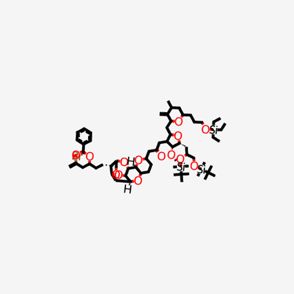 C=C(Br)CC(CC[C@H]1OC2C3CC1OC1C(O3)[C@H]2OC2CCC(CC(=O)CC3C(CC4OC(CCCO[Si](CC)(CC)CC)CC(C)C4=C)O[C@H](CC(CO[Si](C)(C)C(C)(C)C)O[Si](C)(C)C(C)(C)C)[C@@H]3OC)O[C@@H]21)OC(=O)c1ccccc1